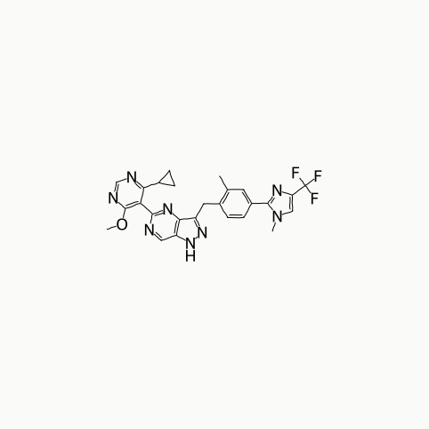 COc1ncnc(C2CC2)c1-c1ncc2[nH]nc(Cc3ccc(-c4nc(C(F)(F)F)cn4C)cc3C)c2n1